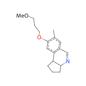 COCCCOc1cc2c(cc1C)C=NC1CCCC21